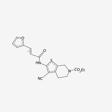 CCOC(=O)N1CCc2c(sc(NC(=O)/C=C/c3ccco3)c2C#N)C1